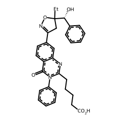 CCC1([C@H](O)c2ccccc2)CC(c2ccc3c(=O)n(-c4ccccc4)c(CCCCC(=O)O)nc3c2)=NO1